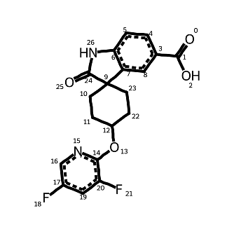 O=C(O)c1ccc2c(c1)C1(CCC(Oc3ncc(F)cc3F)CC1)C(=O)N2